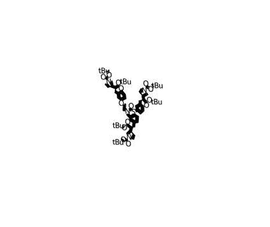 CC(C)(C)OC(=O)[C@@H](Cc1cccc(CN(CCOc2cccc(C[C@H](C(=O)OC(C)(C)C)[C@H]3CCN(C(=O)OC(C)(C)C)C3)c2)C(=O)Sc2cccc(C[C@H](C(=O)OC(C)(C)C)[C@H]3CCN(C(=O)OC(C)(C)C)C3)c2)c1)[C@H]1CCN(C(=O)OC(C)(C)C)C1